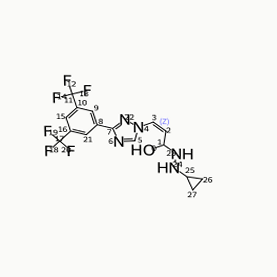 OC(/C=C\n1cnc(-c2cc(C(F)(F)F)cc(C(F)(F)F)c2)n1)NNC1CC1